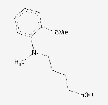 CCCCCCCCCCCCN(C)c1ccccc1OC